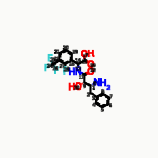 N[C@H](Cc1ccccc1)[C@H](O)C(=O)N[C@H](C(=O)O)c1cccc(C(F)(F)F)c1F